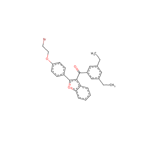 CCc1cc(CC)cc(C(=O)c2c(-c3ccc(OCCBr)cc3)oc3ccccc23)c1